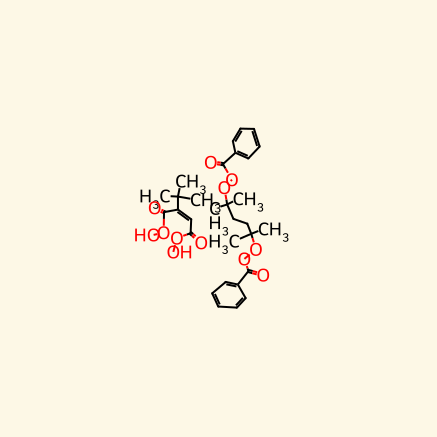 CC(C)(C)/C(=C/C(=O)OO)C(=O)OO.CC(C)(CCC(C)(C)OOC(=O)c1ccccc1)OOC(=O)c1ccccc1